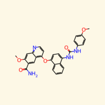 COc1ccc(NC(=O)Nc2ccc(Oc3ccnc4cc(OC)c(C(N)=O)cc34)c3ccccc23)cc1